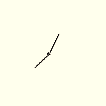 CCCCCCCCCCCCCCCCCCCn1cc[n+](CCCCCCCCCCCCCCCC)c1C